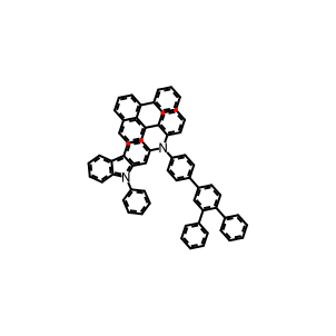 c1ccc(-c2ccc(-c3ccc(N(c4ccc5c6ccccc6n(-c6ccccc6)c5c4)c4ccccc4-c4cccc5cccc(-c6ccccc6)c45)cc3)cc2-c2ccccc2)cc1